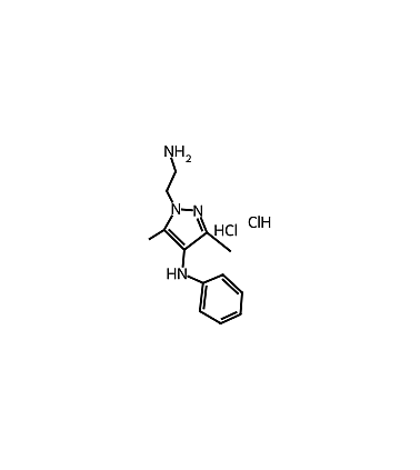 Cc1nn(CCN)c(C)c1Nc1ccccc1.Cl.Cl